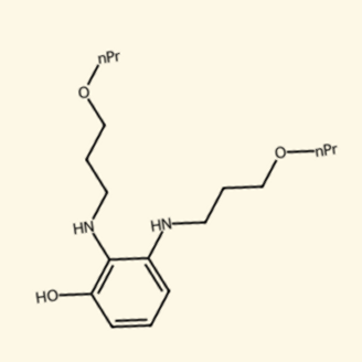 CCCOCCCNc1cccc(O)c1NCCCOCCC